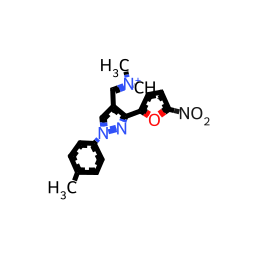 Cc1ccc(-n2cc(C=[N+](C)C)c(-c3ccc([N+](=O)[O-])o3)n2)cc1